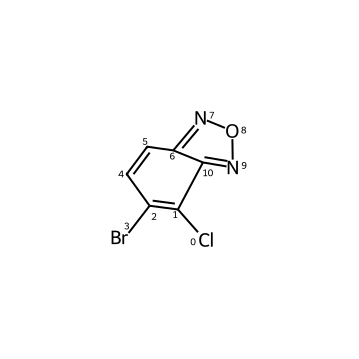 Clc1c(Br)ccc2nonc12